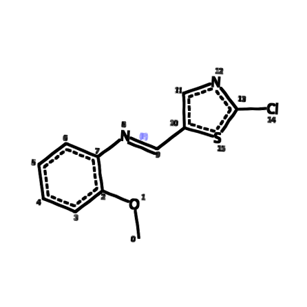 COc1ccccc1/N=C/c1cnc(Cl)s1